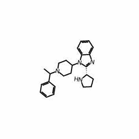 CC(c1ccccc1)N1CCC(n2c([C@@H]3CCCN3)nc3ccccc32)CC1